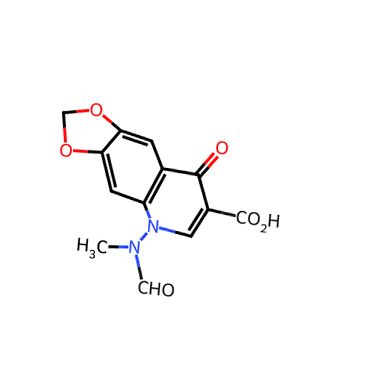 CN(C=O)n1cc(C(=O)O)c(=O)c2cc3c(cc21)OCO3